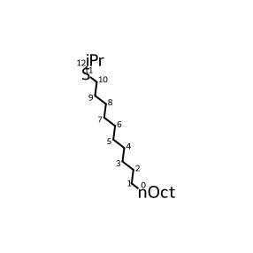 [CH2]CCCCCCCCCCCCCCCCCSC(C)C